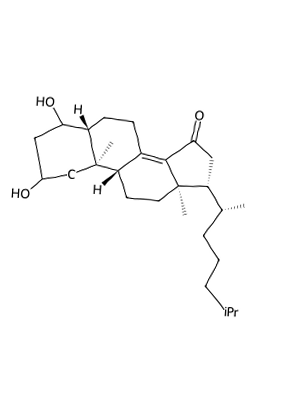 CC(C)CCC[C@@H](C)[C@H]1CC(=O)C2=C3CC[C@H]4C(O)CC(O)C[C@]4(C)[C@H]3CC[C@@]21C